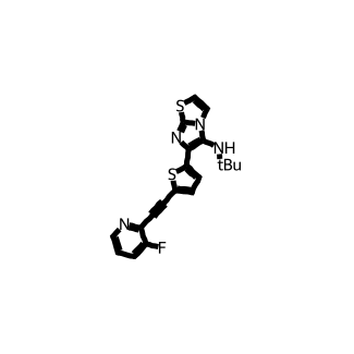 CC(C)(C)Nc1c(-c2ccc(C#Cc3ncccc3F)s2)nc2sccn12